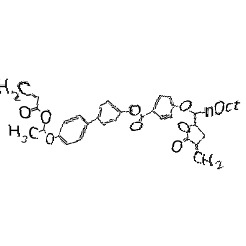 C=CC(=O)OC(C)Oc1ccc(-c2ccc(OC(=O)c3ccc(OC(CCCCCCCC)C4CC(=C)C(=O)O4)cc3)cc2)cc1